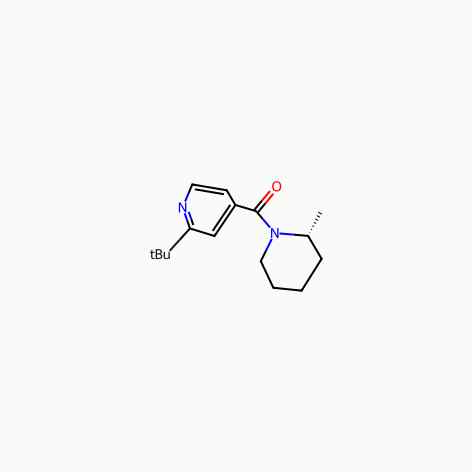 C[C@@H]1CCCCN1C(=O)c1ccnc(C(C)(C)C)c1